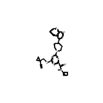 C#CC1(COc2nc(C(=O)NC34CC(C3)C4)nc(N3CCC(c4n[nH]c5ncccc45)CC3)n2)CC1